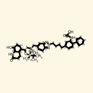 CC(C)(C)[Si](C)(C)O[C@@H](CNCc1ccc2nn(CCCCc3ccc(-c4ccccc4)c(NC(=O)O)c3)nc2c1)c1ccc(O)c2[nH]c(=O)ccc12